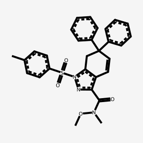 CON(C)C(=O)c1nn(S(=O)(=O)c2ccc(C)cc2)c2c1C=CC(c1ccccc1)(c1ccccc1)C2